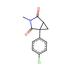 CN1C(=O)C2CC2(c2ccc(Cl)cc2)C1=O